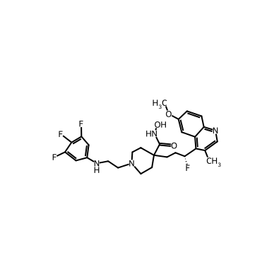 COc1ccc2ncc(C)c([C@H](F)CCC3(C(=O)NO)CCN(CCNc4cc(F)c(F)c(F)c4)CC3)c2c1